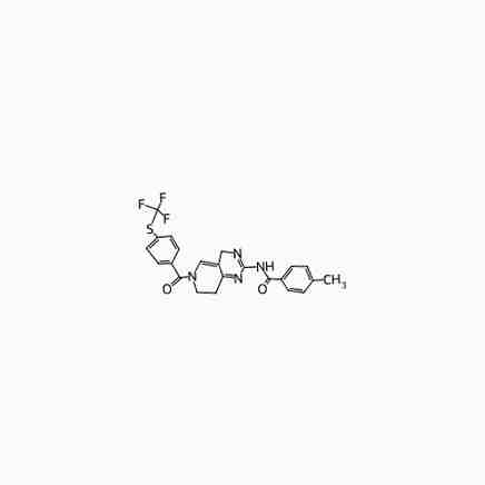 Cc1ccc(C(=O)NC2=NCC3=CN(C(=O)c4ccc(SC(F)(F)F)cc4)CCC3=N2)cc1